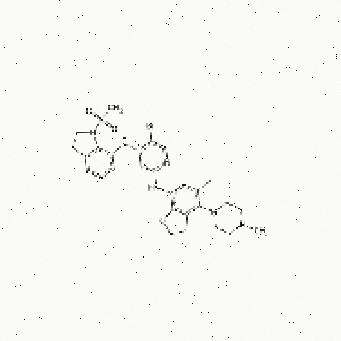 CN1CCN(c2c(F)cc(Nc3ncc(Br)c(Nc4cccc5c4N(S(C)(=O)=O)CC5)n3)c3c2CCO3)CC1